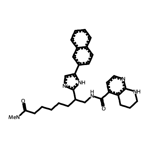 CNC(=O)CCCCCC(CNC(=O)c1ccnc2c1CCCN2)c1ncc(-c2ccc3ccccc3c2)[nH]1